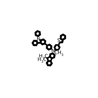 CC1(C)c2ccccc2-c2ccc(N(c3ccc(-c4ccc5c(c4)c4ccccc4n5-c4ccccc4)cc3)C3(C)C=CC(c4cc5ccccc5s4)=CC3)cc21